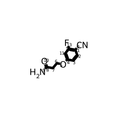 N#Cc1ccc(OCCC(N)=O)cc1F